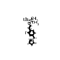 CC(C)(C)[Si](C)(C)OCCc1ccc(CN2CCCC2)cc1F